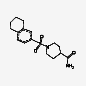 NC(=O)C1CCN(S(=O)(=O)c2ccc3c(c2)CCCC3)CC1